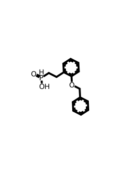 O=[PH](O)CCc1ccccc1OCc1ccccc1